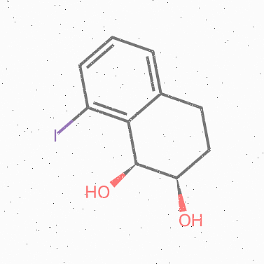 O[C@@H]1CCc2cccc(I)c2[C@@H]1O